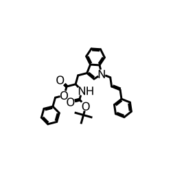 CC(C)(C)OC(=O)NC(Cc1cn(CC=Cc2ccccc2)c2ccccc12)C(=O)OCc1ccccc1